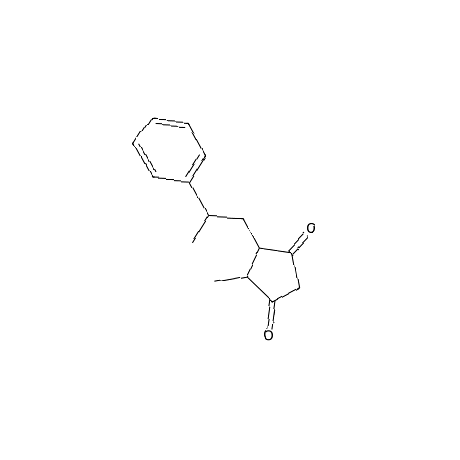 CC(CC1C(=O)CC(=O)C1C)c1ccccc1